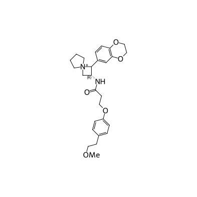 COCCc1ccc(OCCC(=O)N[C@@H]2C[N+]3(CCCC3)C2c2ccc3c(c2)OCCO3)cc1